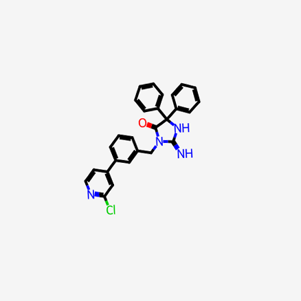 N=C1NC(c2ccccc2)(c2ccccc2)C(=O)N1Cc1cccc(-c2ccnc(Cl)c2)c1